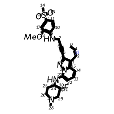 C/C=C\c1c(C#CCNc2ccc(S(C)(=O)=O)cc2OC)nn2c(N[C@@H]3CCN(C)C[C@@H]3F)cccc12